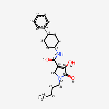 O=C(N[C@H]1CC[C@@H](c2ccccc2)CC1)C1=C(O)C(=O)N(CCCC(F)(F)F)C1